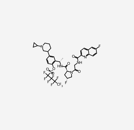 C[C@H](NC(=O)[C@@H]1C[C@@H](F)CN1C(=O)CNC(=O)c1ccc2cc(F)ccc2n1)c1cc(C2CCCN(C3CC3)C2)ccc1OS(=O)(=O)C(F)(F)C(F)(F)C(F)(F)C(F)(F)F